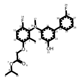 Cc1c(OCC(=O)OC(C)C)ccc(F)c1N(C)c1cc(O)cc(-c2cccc(F)c2)c1